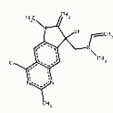 C=CN(C)CC1(CC)C(=C)N(C)c2cc3c(Cl)nc(C)nc3cc21